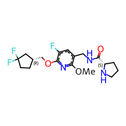 COc1nc(OC[C@@H]2CCC(F)(F)C2)c(F)cc1CNC(=O)[C@@H]1CCCN1